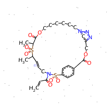 C=CC(=O)N1C/C=C/C(C)S(=O)(=O)C(C)C(=O)OCCCCCCn2cc(nn2)COC(=O)c2ccc(cc2)S1(=O)=O